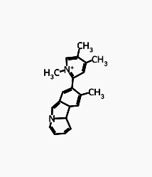 CC1=CC2C(=CN3C=CC=CC23)C=C1c1cc(C)c(C)c[n+]1C